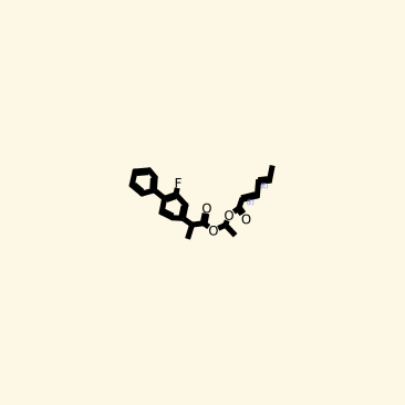 C/C=C/C=C/C(=O)OC(C)OC(=O)C(C)c1ccc(-c2ccccc2)c(F)c1